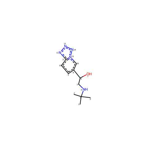 CC(C)(C)NCC(O)c1ccc2nnnn2c1